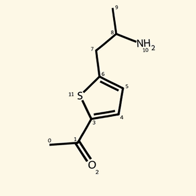 CC(=O)c1ccc(CC(C)N)s1